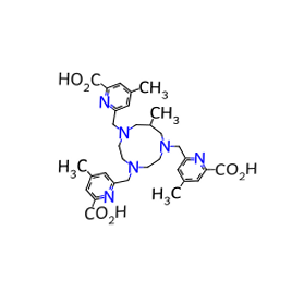 Cc1cc(CN2CCN(Cc3cc(C)cc(C(=O)O)n3)CC(C)CN(Cc3cc(C)cc(C(=O)O)n3)CC2)nc(C(=O)O)c1